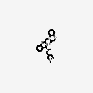 CN(Cc1cnn(C)c1)c1nc(CN2C(=O)COc3ccccc32)nc2ccccc12